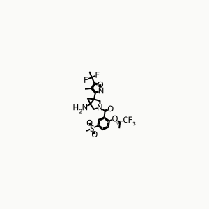 Cc1c(C23CN(C(=O)c4cc(S(C)(=O)=O)ccc4O[C@@H](C)C(F)(F)F)CC2(N)C3)noc1C(C)(F)F